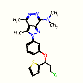 Cc1nnc(N(C)C)c2nn(-c3cccc(OC(CCCl)c4cccs4)c3)c(C)c12